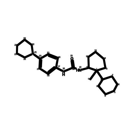 CC1(C2CCCCC2)CCCCC1NC(=O)Nc1ccc(N2CCCCC2)cc1